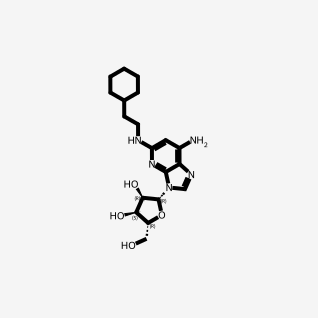 Nc1cc(NCCC2CCCCC2)nc2c1ncn2[C@@H]1O[C@H](CO)[C@@H](O)[C@H]1O